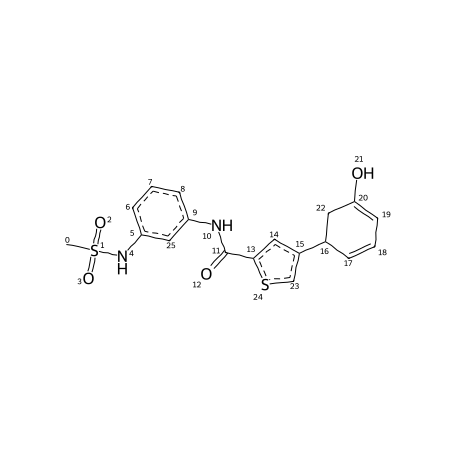 CS(=O)(=O)Nc1cccc(NC(=O)c2cc(C3C=CC=C(O)C3)cs2)c1